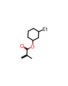 C=C(C)C(=O)OC1CCCC(CC)C1